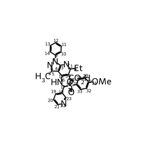 CCc1nc2c(c(C)nn2-c2ccccc2)c(NC(c2cccnc2)S(=O)(=O)c2ccc(OC)cc2)c1C(=O)O